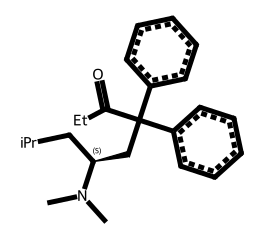 CCC(=O)C(C[C@H](CC(C)C)N(C)C)(c1ccccc1)c1ccccc1